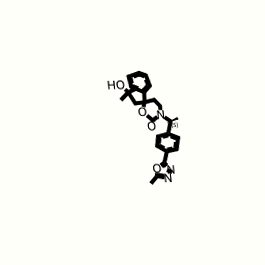 Cc1nnc(-c2ccc([C@H](C)N3CCC(CC(C)(C)O)(c4ccccc4)OC3=O)cc2)o1